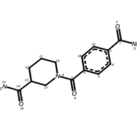 NC(=O)c1ccc(C(=O)N2CCCC(C(N)=O)C2)cc1